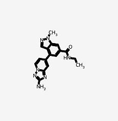 CCNC(=O)c1cc(-c2ccn3nc(N)nc3c2)c2cnn(C)c2c1